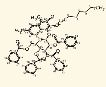 CCCCCCCCOc1c(O[C@@H]2O[C@H](COC(=O)c3ccccc3)[C@H](OC(=O)c3ccccc3)[C@H](OC(=O)c3ccccc3)[C@H]2OC(=O)c2ccccc2)c2ccc(N)cc2n(C)c1=O